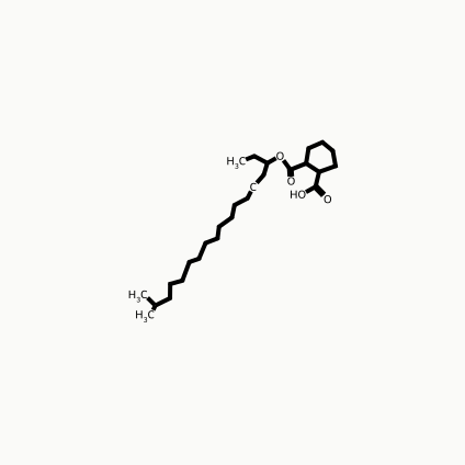 CCC(CCCCCCCCCCCCCC(C)C)OC(=O)C1CCCCC1C(=O)O